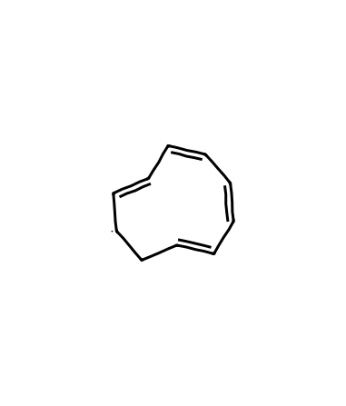 [CH]1/C=C/C=C\C=C/C=C/C1